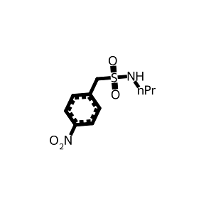 CCCNS(=O)(=O)Cc1ccc([N+](=O)[O-])cc1